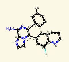 N#Cc1cccc(-c2nc(N)c3nccn3c2-c2cc(F)c3ncccc3c2)c1